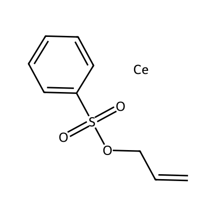 C=CCOS(=O)(=O)c1ccccc1.[Ce]